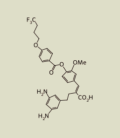 COc1cc(C=C(CCc2cc(N)cc(N)c2)C(=O)O)ccc1OC(=O)c1ccc(OCCCC(F)(F)F)cc1